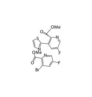 COC(=O)c1ncc(F)cc1-c1nccs1.COC(=O)c1ncc(F)cc1Br